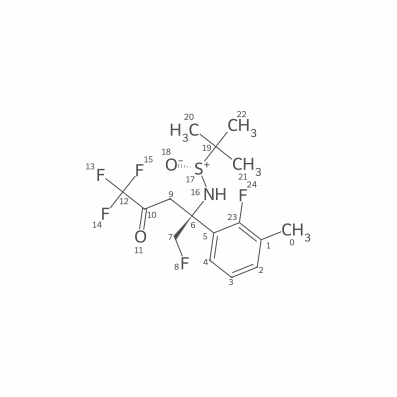 Cc1cccc([C@](CF)(CC(=O)C(F)(F)F)N[S@+]([O-])C(C)(C)C)c1F